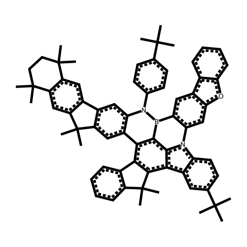 CC(C)(C)c1ccc(N2B3c4cc5c(cc4-n4c6ccc(C(C)(C)C)cc6c6c7c(c(c3c64)-c3cc4c(cc32)-c2cc3c(cc2C4(C)C)C(C)(C)CCC3(C)C)-c2ccccc2C7(C)C)oc2ccccc25)cc1